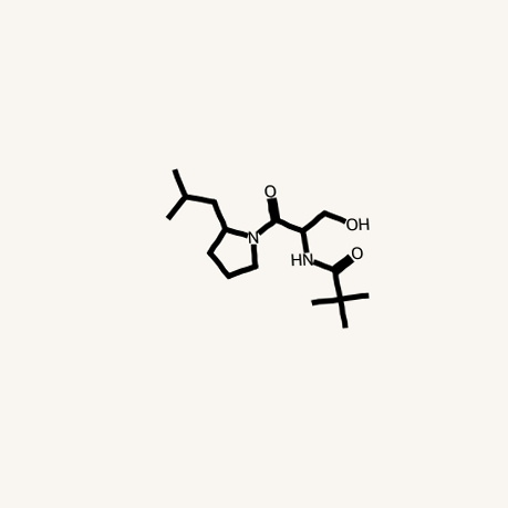 CC(C)CC1CCCN1C(=O)C(CO)NC(=O)C(C)(C)C